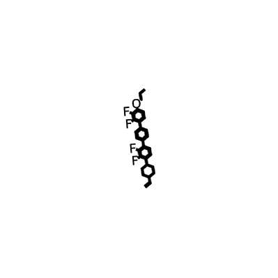 C=CC1CCC(c2ccc(-c3ccc(-c4ccc(OCCC)c(F)c4F)cc3)c(F)c2F)CC1